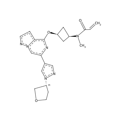 C=CC(=O)N(C)[C@H]1C[C@@H](Oc2nc(-c3cnn([C@@H]4CCOC4)c3)cn3nccc23)C1